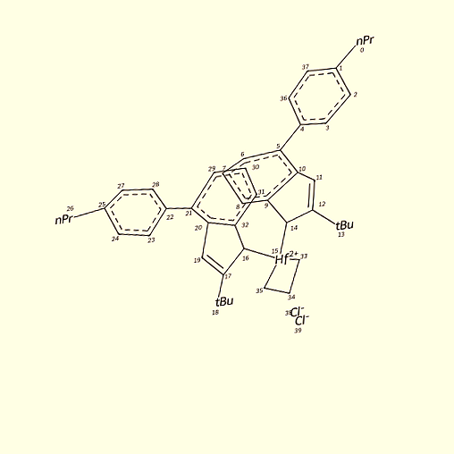 CCCc1ccc(-c2cccc3c2C=C(C(C)(C)C)[CH]3[Hf+2]2([CH]3C(C(C)(C)C)=Cc4c(-c5ccc(CCC)cc5)cccc43)[CH2]C[CH2]2)cc1.[Cl-].[Cl-]